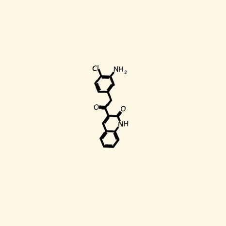 Nc1cc(CC(=O)c2cc3ccccc3[nH]c2=O)ccc1Cl